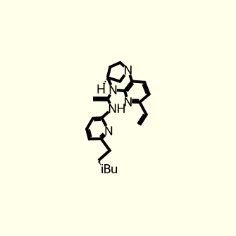 C=Cc1ccc2c(n1)N(C(=C)Nc1cccc(CC[C@@H](C)CC)n1)[C@H]1CCN2C1